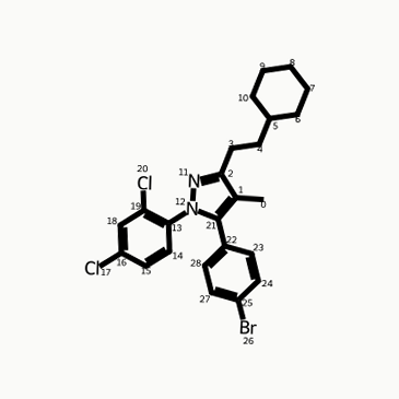 Cc1c(CCC2CCCCC2)nn(-c2ccc(Cl)cc2Cl)c1-c1ccc(Br)cc1